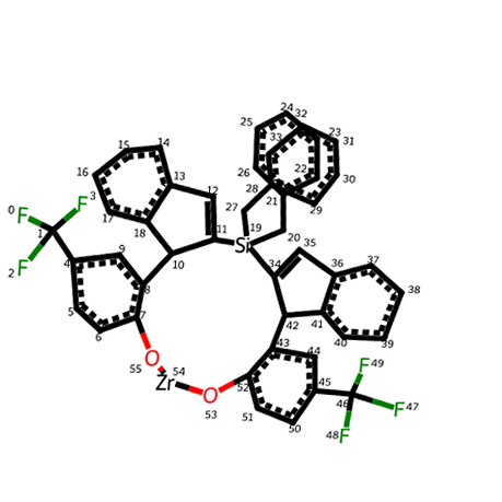 FC(F)(F)c1ccc2c(c1)C1C(=Cc3ccccc31)[Si](Cc1ccccc1)(Cc1ccccc1)C1=Cc3ccccc3C1c1cc(C(F)(F)F)ccc1[O][Zr][O]2